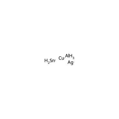 [Ag].[AlH3].[Cu].[SnH2]